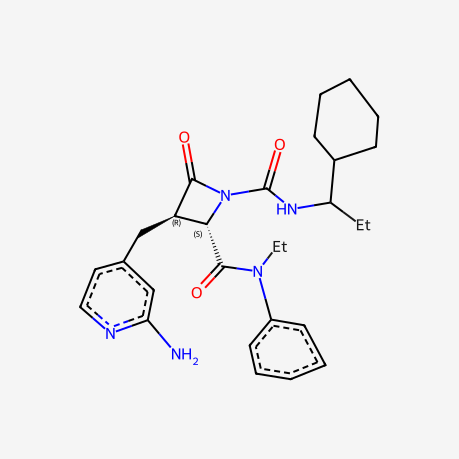 CCC(NC(=O)N1C(=O)[C@H](Cc2ccnc(N)c2)[C@H]1C(=O)N(CC)c1ccccc1)C1CCCCC1